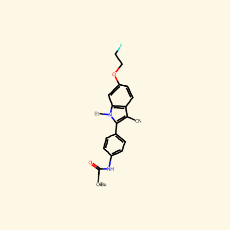 CCn1c(-c2ccc(NC(=O)OCC(C)C)cc2)c(C#N)c2ccc(OCCF)cc21